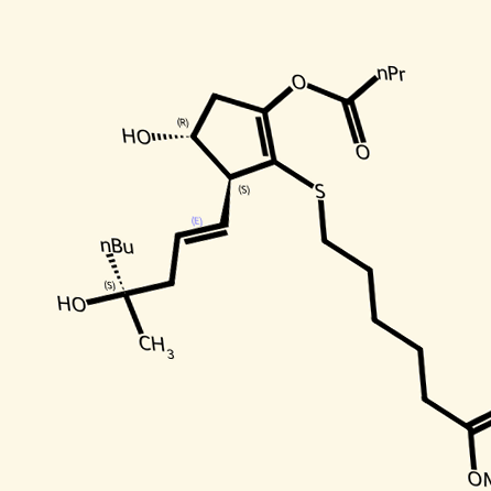 CCCC[C@](C)(O)C/C=C/[C@@H]1C(SCCCCCC(=O)OC)=C(OC(=O)CCC)C[C@H]1O